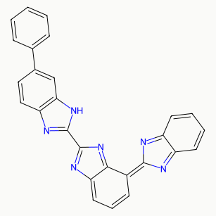 c1ccc(-c2ccc3nc(C4=Nc5cccc(=C6N=c7ccccc7=N6)c5=N4)[nH]c3c2)cc1